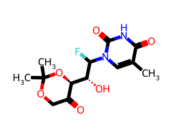 Cc1cn(C(F)[C@H](O)[C@@H]2OC(C)(C)OCC2=O)c(=O)[nH]c1=O